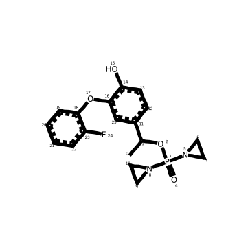 CC(OP(=O)(N1CC1)N1CC1)c1ccc(O)c(Oc2ccccc2F)c1